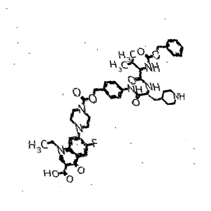 CCn1cc(C(=O)O)c(=O)c2cc(F)c(N3CCN(C(=O)OCc4ccc(NC(=O)[C@H](CC5CCNCC5)NC(=O)C(NC(=O)OCc5ccccc5)C(C)C)cc4)CC3)cc21